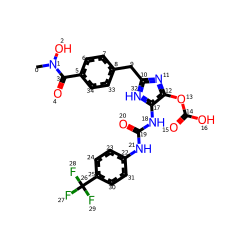 CN(O)C(=O)c1ccc(Cc2nc(OC(=O)O)c(NC(=O)Nc3ccc(C(F)(F)F)cc3)[nH]2)cc1